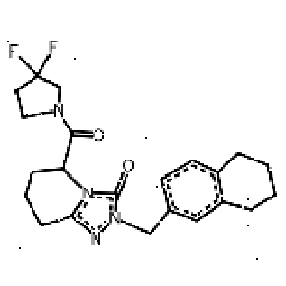 O=C(C1CCCc2nn(Cc3ccc4c(c3)CCCC4)c(=O)n21)N1CCC(F)(F)C1